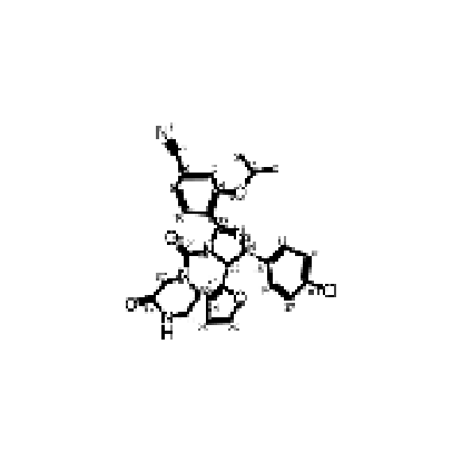 CC(C)Oc1cc(C#N)ccc1C1=N[C@@H](c2ccc(Cl)cc2)[C@@H](c2ccco2)N1C(=O)N1CCNC(=O)C1